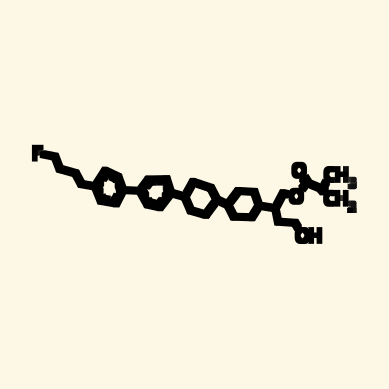 C=C(C)C(=O)OCC(CCO)C1CCC(C2CCC(c3ccc(-c4ccc(CCCCF)cc4)cc3)CC2)CC1